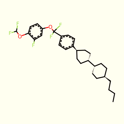 CCCC[C@H]1CC[C@H]([C@H]2CC[C@H](c3ccc(C(F)(F)Oc4ccc(OC(F)F)c(F)c4)cc3)CC2)CC1